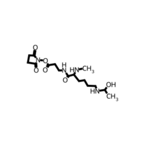 CNC(CCCCNC(C)O)C(=O)NCCC(=O)ON1C(=O)CCC1=O